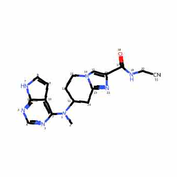 CN(c1ncnc2[nH]ccc12)C1CCn2cc(C(=O)NCC#N)nc2C1